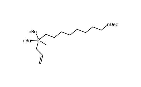 C=CCP(C)(CCCC)(CCCC)CCCCCCCCCCCCCCCCCC